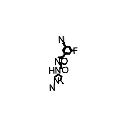 C[C@@H]1C[C@@H](NC(=O)c2ncc(-c3cc(F)cc(C#N)c3)o2)CN1C#N